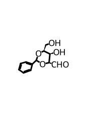 O=C[C@H]1OC(c2ccccc2)O[C@@H](CO)[C@H]1O